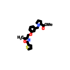 COC(=O)C1CCCN1Cc1cccc(OCc2nc(-c3cccs3)oc2C)c1